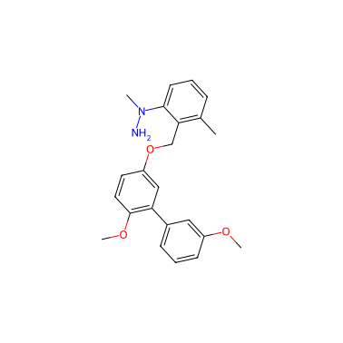 COc1cccc(-c2cc(OCc3c(C)cccc3N(C)N)ccc2OC)c1